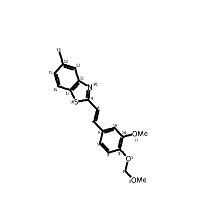 COCOc1ccc(C=Cc2nc3cc(C)[c]cc3s2)cc1OC